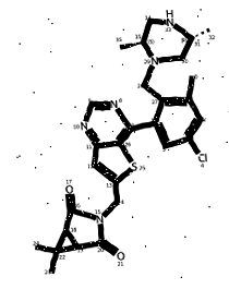 Cc1cc(Cl)cc(-c2ncnc3cc(CN4C(=O)C5C(C4=O)C5(C)C)sc23)c1CN1C[C@@H](C)NC[C@@H]1C